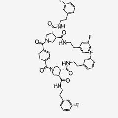 O=C(NCCc1cccc(F)c1)[C@H]1CN(C(=O)C2=CC=C(C(=O)N3C[C@H](C(=O)NCCc4cccc(F)c4)[C@@H](C(=O)NCCc4cccc(F)c4)C3)CC2)C[C@@H]1C(=O)NCCc1cccc(F)c1